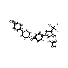 C[C@@H]1C(C(F)(F)F)=NN(c2ccc(OC3CCN(c4cnc(Cl)cn4)CC3)cc2)[C@H]1CC(=O)O